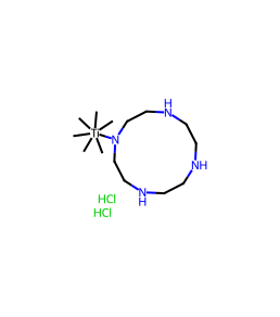 Cl.Cl.[CH3][Ti]([CH3])([CH3])([CH3])([CH3])([CH3])[N]1CCNCCNCCNCC1